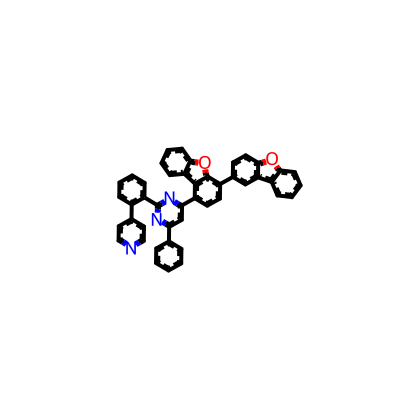 c1ccc(-c2cc(-c3ccc(-c4ccc5oc6ccccc6c5c4)c4oc5ccccc5c34)nc(-c3ccccc3-c3ccncc3)n2)cc1